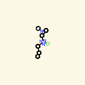 Clc1nc(-c2cccc(-c3ccc4ccccc4c3)c2)nc(-c2ccc3c(c2)c2ccccc2n3C2=CC=CCC2)n1